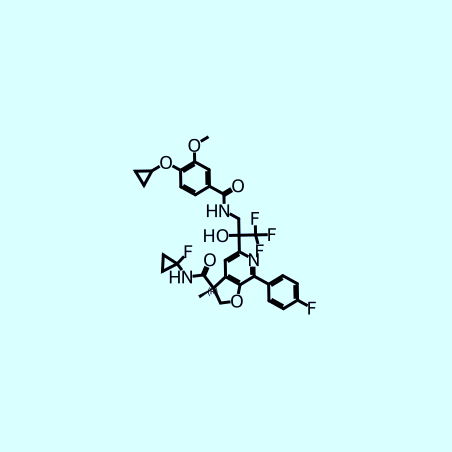 COc1cc(C(=O)NCC(O)(c2cc3c(c(-c4ccc(F)cc4)n2)OC[C@]3(C)C(=O)NC2(F)CC2)C(F)(F)F)ccc1OC1CC1